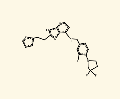 Fc1cc(CNc2ccnc3[nH]c(CCc4ccco4)nc23)ccc1N1CCC(F)(F)C1